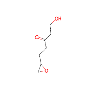 O=C(CCO)CCC1CO1